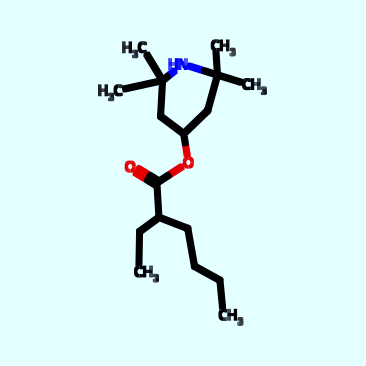 CCCCC(CC)C(=O)OC1CC(C)(C)NC(C)(C)C1